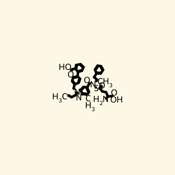 CCCc1nc2c(C)cc(C(=O)N(SC(=O)CCC(N)C(=O)O)C(C)Cc3ccccc3)cc2n1Cc1ccc(-c2ccccc2C(=O)O)cc1